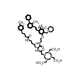 Cc1ccc(CCCC(=O)NCCCC[C@H](NC(=O)CN2CN(CC(=O)O)CN(CC(=O)O)CN(CC(=O)O)C2)C(=O)NCCOc2cc(/C=C/c3cccc(-c4ccccc4)c3C)c(C(F)(F)F)cc2CN2CCCC[C@H]2C(=O)O)cc1